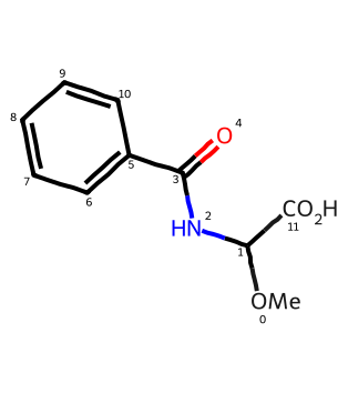 COC(NC(=O)c1ccccc1)C(=O)O